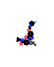 Cc1ccc(C(=O)NC2CC2)cc1-n1cnc2ccc(OCCN3CC[C@@H](F)C3)cc2c1=O